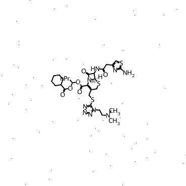 CCCC(OC(=O)C1=C(CSc2nnnn2CCN(C)C)CS[C@@H]2C(NC(=O)Cc3csc(N)n3)C(=O)N12)OC(=O)C1CCCCC1